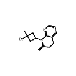 C=C1CCc2cccnc2N1C1CC(C)(CC)C1